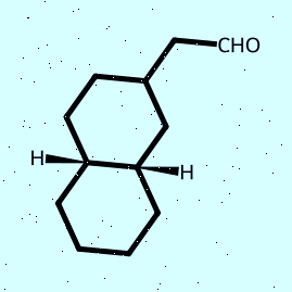 O=CCC1CC[C@H]2CCCC[C@H]2C1